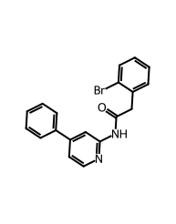 O=C(Cc1ccccc1Br)Nc1cc(-c2ccccc2)ccn1